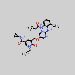 C=CC(=O)Nc1cccc(C)c1Nc1ncc(OCc2cc(C(=O)NC3CC3)cn(CC)c2=O)cn1